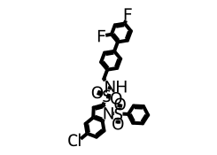 O=S(=O)(NCc1ccc(-c2ccc(F)cc2F)cc1)c1cc2cc(Cl)ccc2n1S(=O)(=O)c1ccccc1